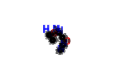 Nc1ncc(-c2ccc(C(=O)N3CCC(N4CCCC4)CC3)cc2)cc1OCc1ccccc1-c1ccccc1